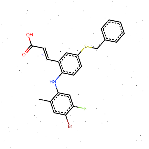 Cc1cc(Br)c(F)cc1Nc1ccc(SCc2ccccc2)cc1/C=C/C(=O)O